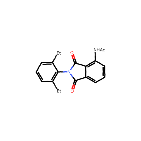 CCc1cccc(CC)c1N1C(=O)c2cccc(NC(C)=O)c2C1=O